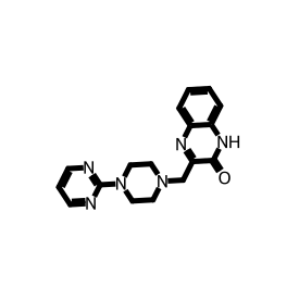 O=c1[nH]c2ccccc2nc1CN1CCN(c2ncccn2)CC1